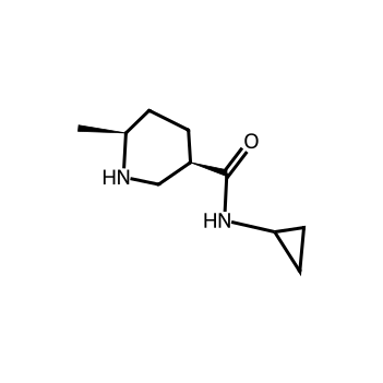 C[C@H]1CC[C@@H](C(=O)NC2CC2)CN1